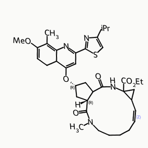 CCOC(=O)C12CC1/C=C\CCCCN(C)C(=O)[C@@H]1C[C@H](OC3=CC(c4nc(C(C)C)cs4)=NC4=C(C)C(OC)=CCC34)CC1C(=O)N2